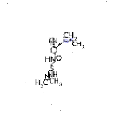 C=C/C(C#Cc1cc(C(=O)NCCSCNN=C(C)C)ccc1-n1cccn1)=C\C=C/C